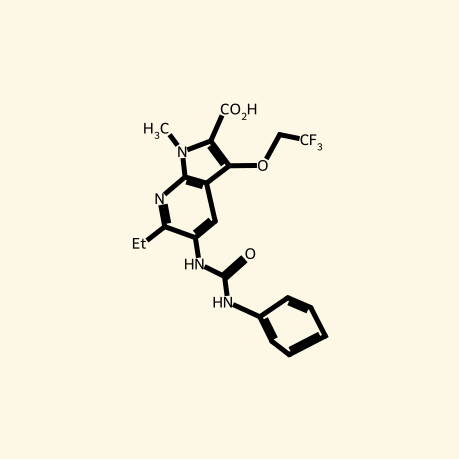 CCc1nc2c(cc1NC(=O)Nc1ccccc1)c(OCC(F)(F)F)c(C(=O)O)n2C